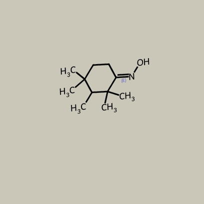 CC1C(C)(C)CC/C(=N\O)C1(C)C